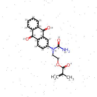 C=C(C)C(=O)OCCN(C(N)=O)c1ccc2c(c1)C(=O)c1ccccc1C2=O